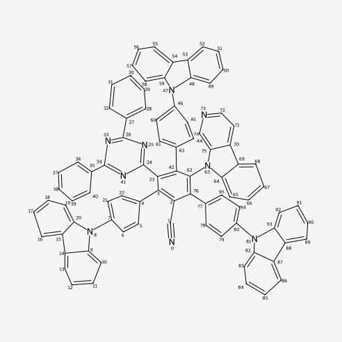 N#Cc1c(-c2ccc(-n3c4ccccc4c4ccccc43)cc2)c(-c2nc(-c3ccccc3)nc(-c3ccccc3)n2)c(-c2ccc(-n3c4ccccc4c4ccccc43)cc2)c(-n2c3ccccc3c3ccncc32)c1-c1ccc(-n2c3ccccc3c3ccccc32)cc1